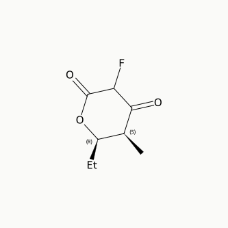 CC[C@H]1OC(=O)C(F)C(=O)[C@H]1C